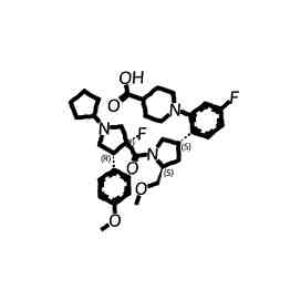 COC[C@@H]1C[C@@H](c2ccc(F)cc2N2CCC(C(=O)O)CC2)CN1C(=O)[C@]1(F)CN(C2CCCC2)C[C@H]1c1ccc(OC)cc1